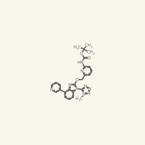 Cn1nnnc1-n1c(OCc2cccc(NC(=O)OC(C)(C)C)n2)nc2c(-c3cccnc3)cccc21